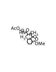 COC(=O)[C@H]1CCCC[C@H]1C(=O)N(C)C(C)C(=O)NOCOC(C)=O